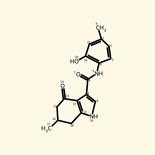 Cc1ccc(NC(=O)c2c[nH]c3c2C(=O)CC(C)C3)c(O)c1